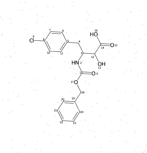 O=C(NC(Cc1ccc(Cl)cc1)C(O)C(=O)O)OCc1ccccc1